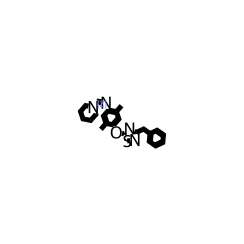 Cc1cc(Oc2nc(Cc3ccccc3)ns2)c(C)cc1/N=C\N1CCCCC1